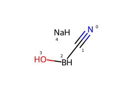 N#CBO.[NaH]